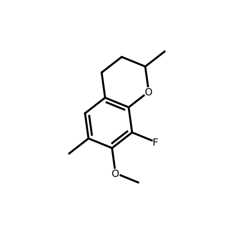 COc1c(C)cc2c(c1F)OC(C)CC2